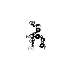 O=C(CCCO)OC1CNCC(OCc2ccc3c(c2)N(CCCO)CCO3)C1c1ccc(OC2CCN(c3cccc(F)c3)C2)cc1